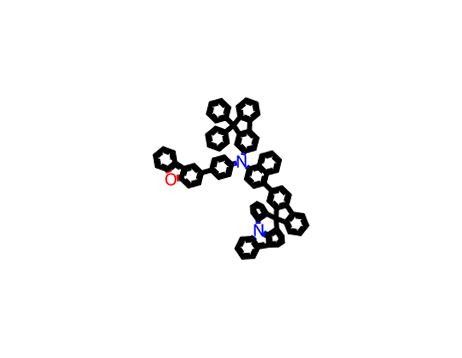 c1ccc(C2(c3ccccc3)c3ccccc3-c3ccc(N(c4ccc(-c5ccc6oc7ccccc7c6c5)cc4)c4ccc(-c5ccc6c(c5)C5(c7ccccc7-6)c6ccccc6-n6c7ccccc7c7cccc5c76)c5ccccc45)cc32)cc1